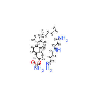 CC(C)CCC[C@@H](C)[C@H]1CCC2C3CC=C4CC(OC(N)=O)CC[C@]4(C)C3CC[C@@]21C.NCCCCNCCCN